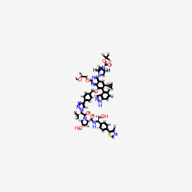 CO[C@@H](C)COc1nc(N2C[C@@H]3C[C@H]2CN3C(=O)OC(C)(C)C)c2cc(C3CC3)c(-c3c(C)c(F)cc4[nH]ncc34)c(OCc3ccc(-c4cn([C@H](C(=O)N5C[C@H](O)C[C@H]5C(=O)N[C@@H](CO)c5ccc(-c6scnc6C)cc5)C(C)C)nn4)cc3)c2n1